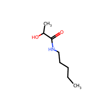 CCCCCNC(=O)C(C)O